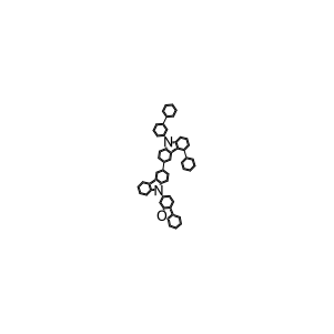 c1ccc(-c2cccc(-n3c4ccc(-c5ccc6c(c5)c5ccccc5n6-c5ccc6c(c5)oc5ccccc56)cc4c4c(-c5ccccc5)cccc43)c2)cc1